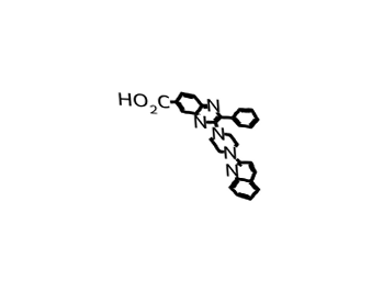 O=C(O)c1ccc2nc(-c3ccccc3)c(N3CCN(c4ccc5ccccc5n4)CC3)nc2c1